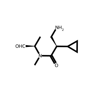 C[C@H](C=O)N(C)C(=O)[C@@H](CN)C1CC1